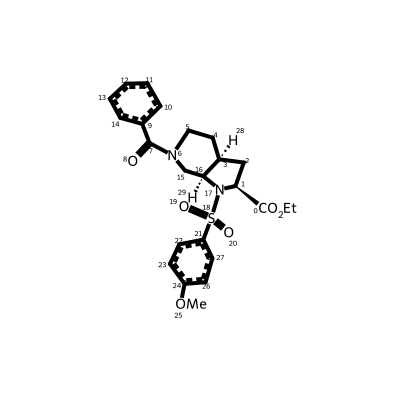 CCOC(=O)[C@@H]1C[C@@H]2CCN(C(=O)c3ccccc3)C[C@@H]2N1S(=O)(=O)c1ccc(OC)cc1